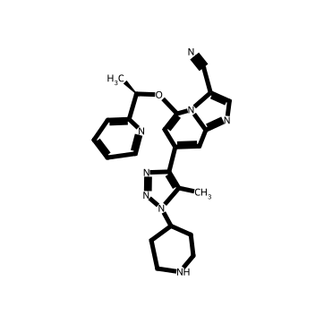 Cc1c(-c2cc(O[C@H](C)c3ccccn3)n3c(C#N)cnc3c2)nnn1C1CCNCC1